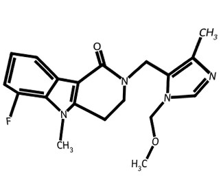 COCn1cnc(C)c1CN1CCc2c(c3cccc(F)c3n2C)C1=O